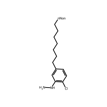 CCCCCCCCCCCCCCCCc1ccc(Cl)c(NN)c1